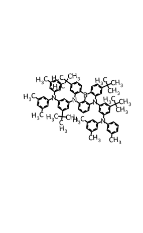 Cc1cccc(N(c2cc(C)cc(C)c2)c2cc(N3c4cc(C(C)(C)C)ccc4B4c5ccc(C(C)(C)C)cc5N(c5cc(N(c6cccc(C)c6)c6cc(C)cc(C)c6)cc(C(C)(C)C)c5)c5cccc3c54)cc(C(C)(C)C)c2)c1